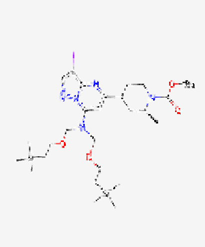 C[C@H]1C[C@H](c2cc(N(COCC[Si](C)(C)C)COCC[Si](C)(C)C)n3ncc(I)c3n2)CCN1C(=O)OC(C)(C)C